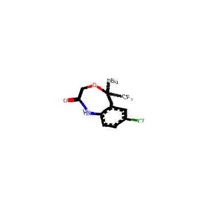 CCCCC1(C(F)(F)F)OCC(=O)Nc2ccc(Cl)cc21